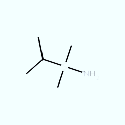 CC(C)S(C)(C)N